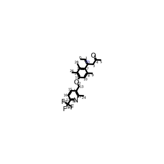 C/C=C(/CC(C)=O)c1c(C)cc(OCc2ccc(C(F)(F)F)nc2C)c(C)c1C